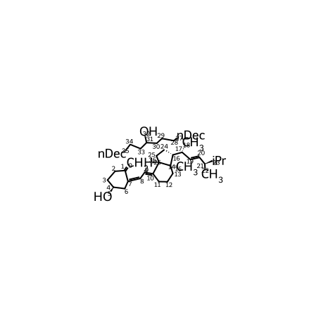 C=C1CC[C@H](O)C/C1=C/C=C1\CCC[C@]2(C)[C@@H]([C@H](C)/C=C/[C@H](C)C(C)C)CC[C@@H]12.CCCCCCCCCCCCCC(O)CCCCCCCCCCCC